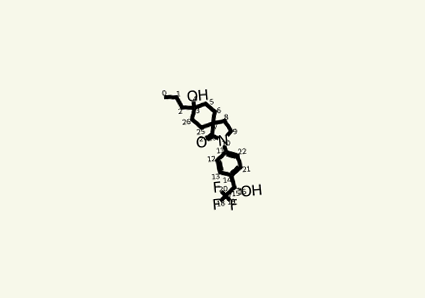 CCCC1(O)CCC2(CCN(c3ccc([C@H](O)C(F)(F)F)cc3)C2=O)CC1